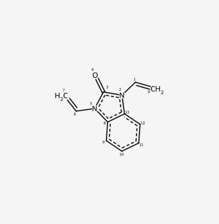 C=Cn1c(=O)n(C=C)c2ccccc21